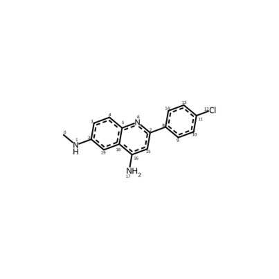 CNc1ccc2nc(-c3ccc(Cl)cc3)cc(N)c2c1